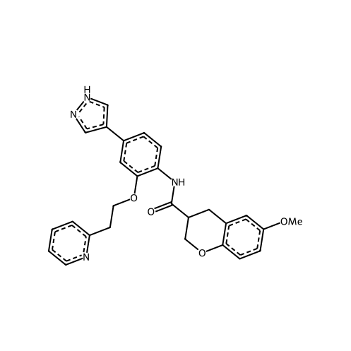 COc1ccc2c(c1)CC(C(=O)Nc1ccc(-c3cn[nH]c3)cc1OCCc1ccccn1)CO2